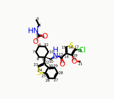 CCNC(=O)O[C@H]1CC[C@@](CNC(=O)c2csc(Cl)c2OC)(c2csc3ccccc32)CC1